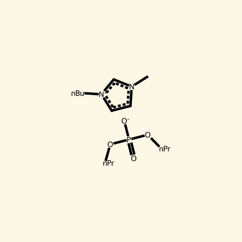 CCCC[n+]1ccn(C)c1.CCCOP(=O)([O-])OCCC